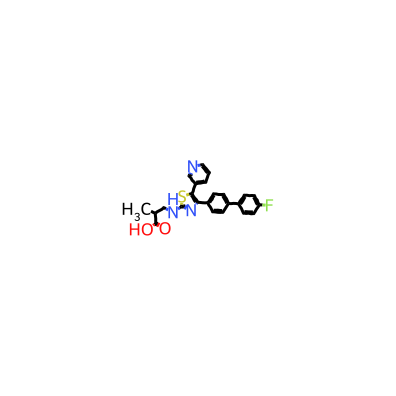 CC(CNc1nc(-c2ccc(-c3ccc(F)cc3)cc2)c(-c2cccnc2)s1)C(=O)O